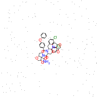 NC(=O)C12C(=O)COC1CCN2C(=O)C(Cc1ccc(Cl)cc1)N(C(=O)c1ccc(Oc2ccccc2)cc1)C(Cc1ccc(Cl)cc1)C(=O)N1CCC2OCC(=O)C21